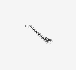 CCCCCCCCCCCCCCCCCC(=O)OC(C)(C)CC